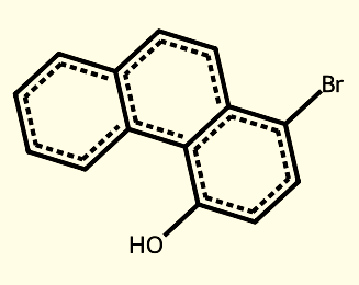 Oc1ccc(Br)c2ccc3ccccc3c12